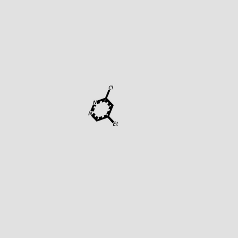 CCc1cnnc(Cl)c1